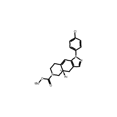 CC(=O)[C@]12Cc3cnn(-c4ccc(Cl)cc4)c3C=C1CCN(C(=O)OC(C)(C)C)C2